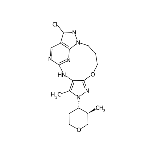 Cc1c2c(nn1[C@H]1CCOC[C@@H]1C)OCCCn1nc(Cl)c3cnc(nc31)N2